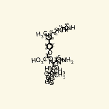 C[n+]1cc(-c2ccc(OC[C@H](O/N=C(/C(=O)N[C@@H]3C(=O)N(OS(=O)(=O)[O-])C3(C)C)c3csc(N)n3)C(=O)O)cc2)cn1CCCNCC1CNC1